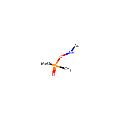 COP(C)(=O)ONC(C)=O